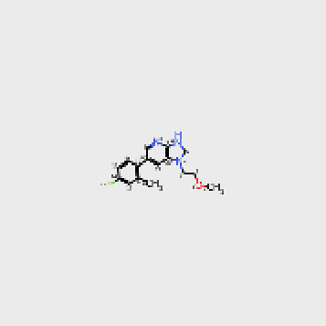 COCCN1CNc2ncc(-c3ccc(F)cc3C)cc21